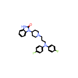 O=c1[nH]c2ccccc2n1C1CCN(CCCN(c2ccc(F)cc2)c2ccc(F)cc2)CC1